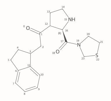 O=C(CC1CCc2ccccc21)C1CCN[C@H]1C(=O)N1CCSC1